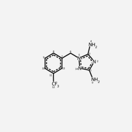 Nc1nc(N)n(Cc2cccc(C(F)(F)F)c2)n1